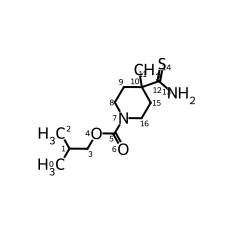 CC(C)COC(=O)N1CCC(C)(C(N)=S)CC1